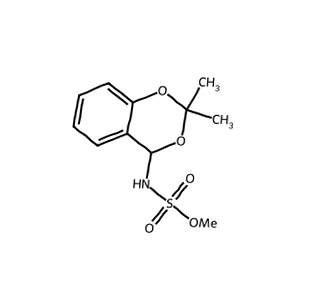 COS(=O)(=O)NC1OC(C)(C)Oc2ccccc21